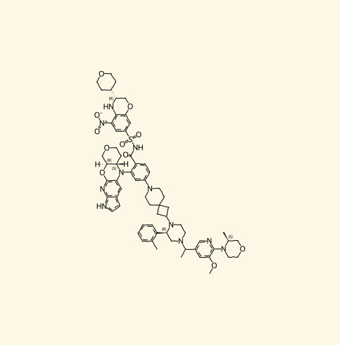 COc1cc(C(C)N2CCN(C3CC4(CCN(c5ccc(C(=O)NS(=O)(=O)c6cc7c(c([N+](=O)[O-])c6)N[C@H](C6CCOCC6)CO7)c(N6c7cc8cc[nH]c8nc7O[C@H]7COCC[C@@H]76)c5)CC4)C3)[C@H](c3ccccc3C)C2)cnc1N1CCOC[C@@H]1C